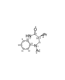 CC(=O)N1C[C@H](C(C)C)C(=O)Nc2ccccc21